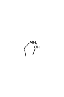 CO.C[CH2][AlH2]